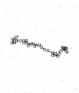 CCCn1c(=O)c2[nH]c(-c3ccc(OCC(=O)NCC(=O)N4CCN(CC(=O)NCCCOCCOCCOCCCNC(=O)CN(C)C(=O)COc5ccc(C6=[N+]7C(=Cc8ccc(-c9cccs9)n8[B-]7(F)F)C=C6)cc5)CC4)cc3)cc2n(C)c1=O